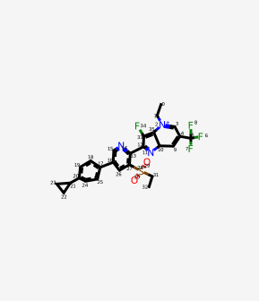 CC[N+]1=CC(C(F)(F)F)=CC2N=C(c3ncc(-c4ccc(C5CC5)cc4)cc3S(=O)(=O)CC)C(F)=C21